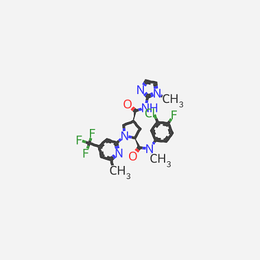 Cc1cc(C(F)(F)F)cc(N2C[C@@H](C(=O)Nc3nccn3C)C[C@H]2C(=O)N(C)c2ccc(F)c(Cl)c2)n1